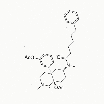 CC(=O)Oc1cccc([C@@]23CCN(C)C[C@@]2(OC(C)=O)CC[C@H](N(C)C(=O)CCCCCc2ccccc2)C3)c1